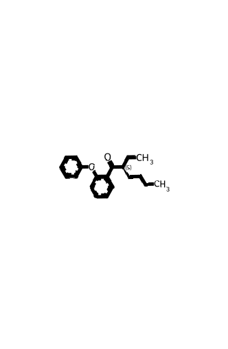 CCCC[C@H](CC)C(=O)c1ccccc1Oc1ccccc1